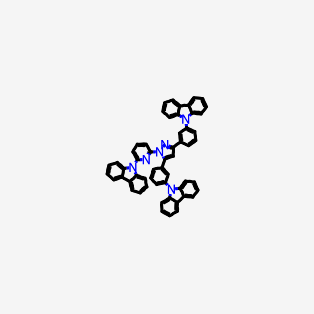 c1cc(-c2cc(-c3cccc(-n4c5ccccc5c5ccccc54)c3)n(-c3cccc(-n4c5ccccc5c5ccccc54)n3)n2)cc(-n2c3ccccc3c3ccccc32)c1